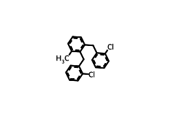 Cc1cccc(Cc2ccccc2Cl)c1Cc1ccccc1Cl